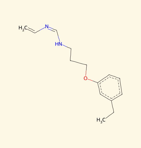 C=C/N=C\NCCCOc1cccc(CC)c1